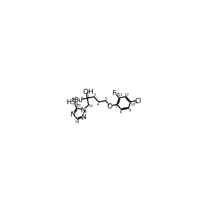 CC(C)(C)C(O)(CCCOc1ccc(Cl)cc1F)Cn1ncnc1S